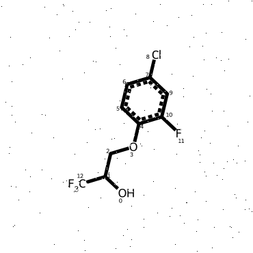 OC(COc1[c]cc(Cl)cc1F)C(F)(F)F